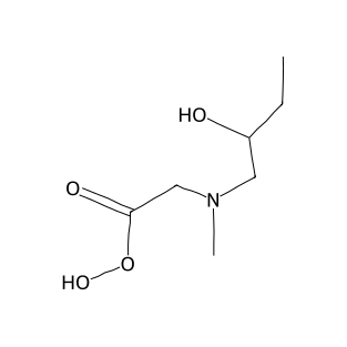 CCC(O)CN(C)CC(=O)OO